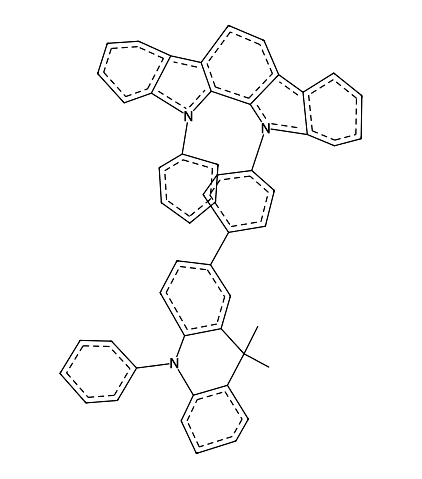 CC1(C)c2ccccc2N(c2ccccc2)c2ccc(-c3ccc(-n4c5ccccc5c5ccc6c7ccccc7n(-c7ccccc7)c6c54)cc3)cc21